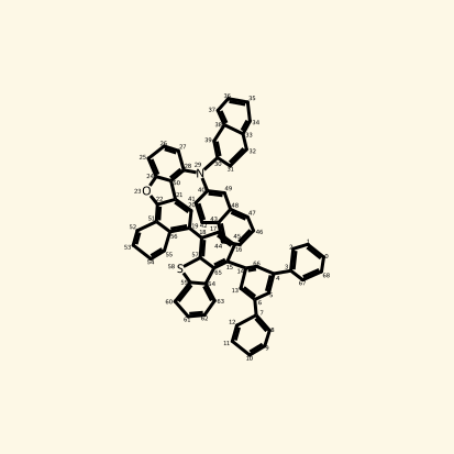 c1ccc(-c2cc(-c3ccccc3)cc(-c3ccc(-c4cc5c(oc6cccc(N(c7ccc8ccccc8c7)c7ccc8ccccc8c7)c65)c5ccccc45)c4sc5ccccc5c34)c2)cc1